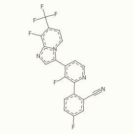 N#Cc1cc(F)ccc1-c1nccc(-c2cnc3c(F)c(C(F)(F)F)ccn23)c1F